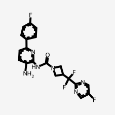 Nc1ccc(-c2ccc(F)cc2)nc1NC(=O)N1CC(C(F)(F)c2ncc(F)cn2)C1